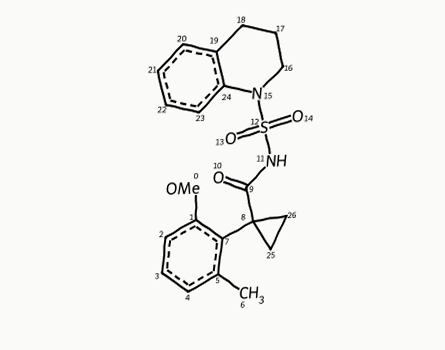 COc1cccc(C)c1C1(C(=O)NS(=O)(=O)N2CCCc3ccccc32)CC1